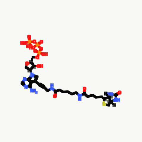 Nc1ncnc2c1c(C#CCNC(=O)CCCCCNC(=O)CCCC[C@@H]1SC[C@@H]3NC(=O)N[C@@H]31)cn2[C@@H]1CO[C@H](COP(=O)(O)OP(=O)(O)OP(=O)(O)O)[C@H]1O